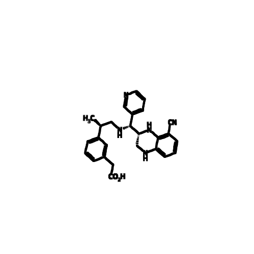 C[C@@H](CN[C@H](c1cccnc1)[C@H]1CNc2cccc(C#N)c2N1)c1cccc(CC(=O)O)c1